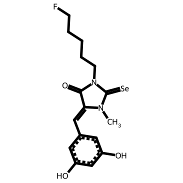 CN1C(=[Se])N(CCCCCF)C(=O)C1=Cc1cc(O)cc(O)c1